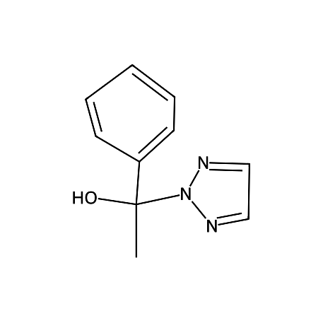 CC(O)(c1ccccc1)n1nccn1